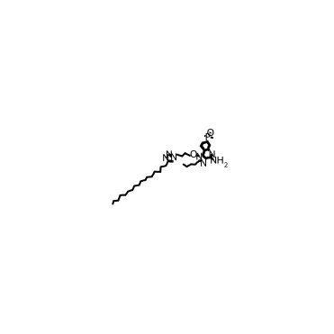 CCCCCCCCCCCCCCCCCc1cn(CCCCOn2c(CCCC)nc3c(N)nc4cc(P(C)(C)=O)ccc4c32)nn1